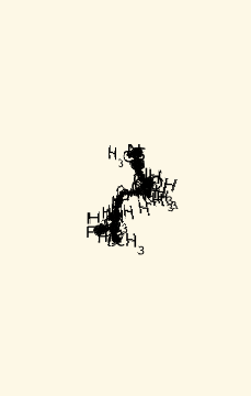 CCS(=O)(=O)Nc1ccc(-c2n[nH]c(Nc3ccc(C(=O)OCCCCC(=O)N[C@H](C(=O)N4C[C@H](O)C[C@H]4C(=O)NCc4ccc(-c5scnc5C)cc4)C(C)(C)C)cn3)c2C(N)=O)cc1O[C@@H](C)c1ccc(F)cc1